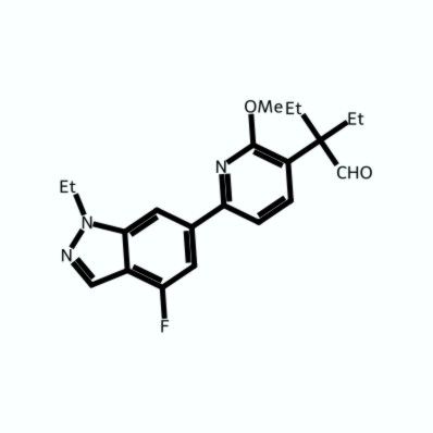 CCn1ncc2c(F)cc(-c3ccc(C(C=O)(CC)CC)c(OC)n3)cc21